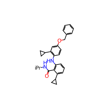 CC(C)NC(=O)c1c(Nc2ccc(OCc3ccccc3)cc2C2CC2)cccc1C1CC1